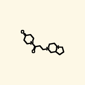 O=C1CCN(C(=O)CCN2CCN3CCCC3C2)CC1